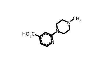 CN1CCN(c2cc(C(=O)O)ccn2)CC1